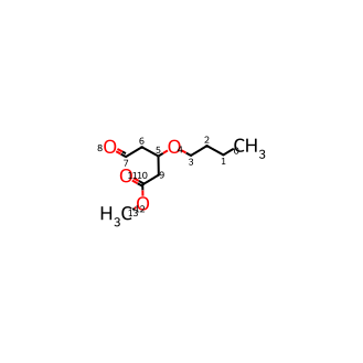 CCCCOC(CC=O)CC(=O)OC